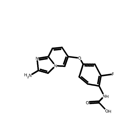 Nc1cn2cc(Oc3ccc(NC(=O)O)c(F)c3)ccc2n1